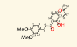 COc1ccc(CCC(=O)c2ccc3c(c2O)C=CC(C)(C)O3)cc1OC